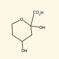 O=C(O)C1(O)CC(O)CCO1